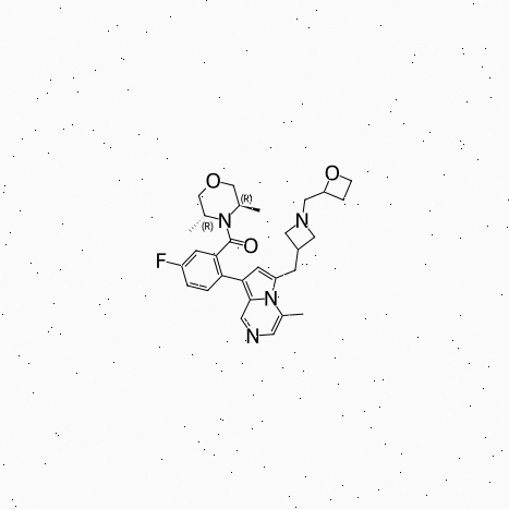 Cc1cncc2c(-c3ccc(F)cc3C(=O)N3[C@H](C)COC[C@H]3C)cc(CC3CN(CC4CCO4)C3)n12